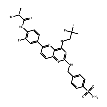 C[C@H](O)C(=O)Nc1ccc(-c2ccc3nc(NCc4ccc(S(N)(=O)=O)cc4)nc(NCC(F)(F)F)c3n2)cc1F